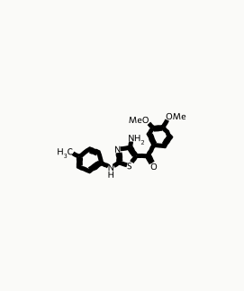 COc1ccc(C(=O)c2sc(Nc3ccc(C)cc3)nc2N)cc1OC